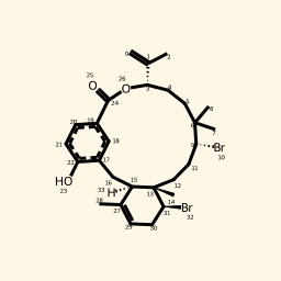 C=C(C)[C@@H]1CCC(C)(C)[C@H](Br)CC[C@@]2(C)[C@H](Cc3cc(ccc3O)C(=O)O1)C(C)=CC[C@@H]2Br